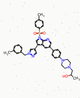 Cc1ccc(S(=O)(=O)n2cc(-c3cnn(Cc4cccc(C)c4)c3)c3cc(-c4ccc(N5CCN(CC(C)O)CC5)cc4)cnc32)cc1